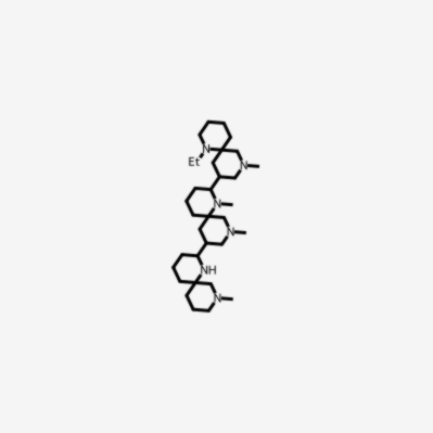 CCN1CCCCC12CC(C1CCCC3(CC(C4CCCC5(CCCN(C)C5)N4)CN(C)C3)N1C)CN(C)C2